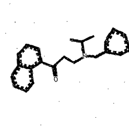 CC(C)N(CCC(=O)c1cccc2ccccc12)Cc1ccccc1